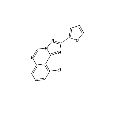 Clc1cccc2ncn3nc(-c4ccco4)nc3c12